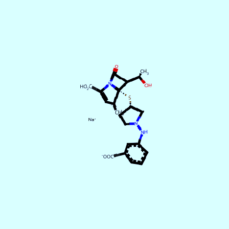 CC1C=C(C(=O)O)N2C(=O)C([C@@H](C)O)[C@@]12S[C@H]1CCN(Nc2cccc(C(=O)[O-])c2)C1.[Na+]